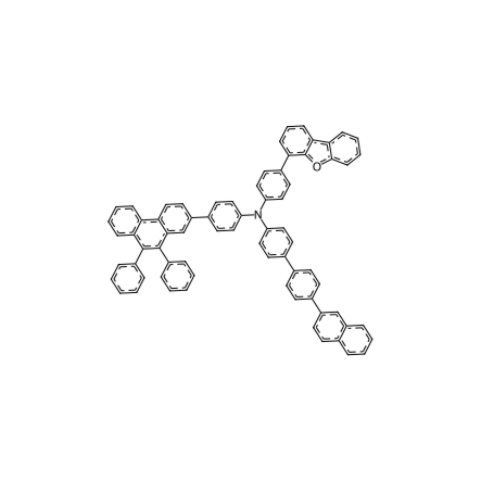 c1ccc(-c2c(-c3ccccc3)c3cc(-c4ccc(N(c5ccc(-c6ccc(-c7ccc8ccccc8c7)cc6)cc5)c5ccc(-c6cccc7c6oc6ccccc67)cc5)cc4)ccc3c3ccccc23)cc1